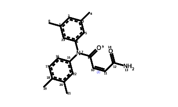 Cc1cc(C)cc(N(C(=O)/C=C\C(N)=O)c2ccc(C)c(C)c2)c1